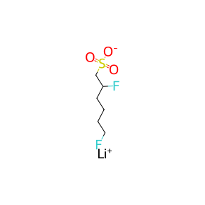 O=S(=O)([O-])CC(F)CCCCF.[Li+]